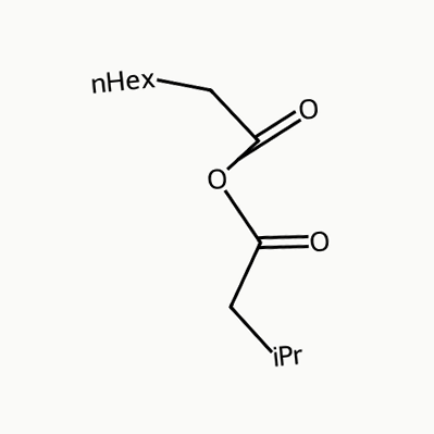 CCCCCCCC(=O)OC(=O)CC(C)C